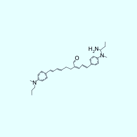 CCCN(C)c1ccc(C=CC=CCCC(C=O)=CC=Cc2ccc(N(C)C(N)CC)cc2)cc1